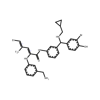 CC/C=C(/C=C(\Nc1cccc(CN)c1)C(=O)Nc1cccc(C(NCC2CC2)c2ccc(O)c(Br)c2)c1)C(F)(F)F